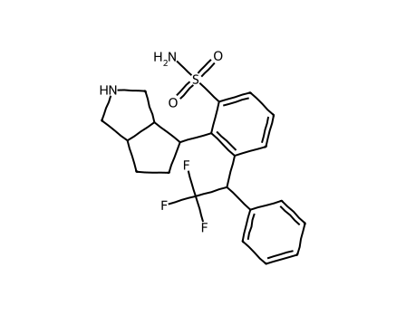 NS(=O)(=O)c1cccc(C(c2ccccc2)C(F)(F)F)c1C1CCC2CNCC21